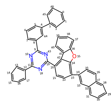 c1ccc(-c2cccc(-c3nc(-c4ccccc4)nc(-c4ccc(-c5ccc6ccccc6c5)c5oc6ccccc6c45)n3)c2)cc1